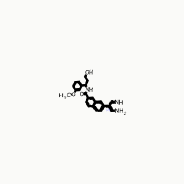 COc1cccc(C(CCO)NC(=O)c2ccc3ccc(/C(C=N)=C/N)cc3c2)c1